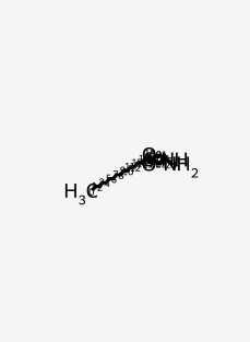 CCCCCCCCCCCCCCCCS(=O)(=O)c1ccc(NN)cc1